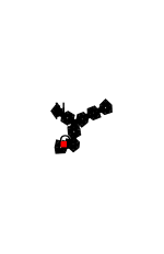 c1ccc(-c2ccc(-c3ccc(N(c4ccc(-c5cccc6c5oc5ccccc56)cc4)c4ccc(-n5cccn5)cc4)cc3)cc2)cc1